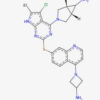 CCc1[nH]c2nc(Sc3ccc4c(N5CC(N)C5)ccnc4c3)nc(N3C[C@@H]4C(N)[C@@H]4C3)c2c1Cl